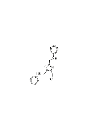 [O]Cc1nc(CNc2ccccc2)sc1CNc1ccccc1